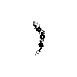 C=CCCc1ccc(COC2CCC(C(F)(F)Oc3ccc(CCC=C)cc3)CC2)cc1